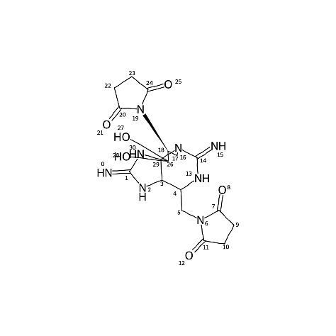 N=C1NC2C(CN3C(=O)CCC3=O)NC(=N)N3C[C@H](N4C(=O)CCC4=O)C(O)(O)C23N1